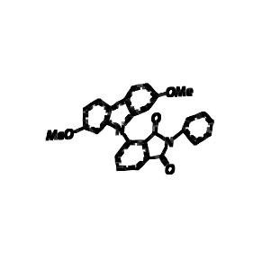 COc1ccc2c3ccc(OC)cc3n(-c3cccc4c3C(=O)N(c3ccccc3)C4=O)c2c1